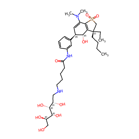 CCCC[C@]1(CC)CS(=O)(=O)C2=C1[C@H](O)[C@@H](c1cccc(NC(=O)CCCCNC[C@H](O)[C@@H](O)[C@H](O)[C@H](O)CO)c1)C=C2N(C)C